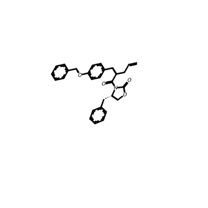 C=CCC(Cc1ccc(OCc2ccccc2)cc1)C(=O)N1C(=O)OC[C@@H]1Cc1ccccc1